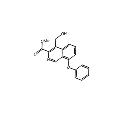 COC(=O)c1ncc2c(Oc3ccccc3)cccc2c1CO